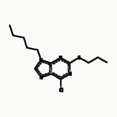 CCCCCn1cnc2c(Cl)nc(SCCC)nc21